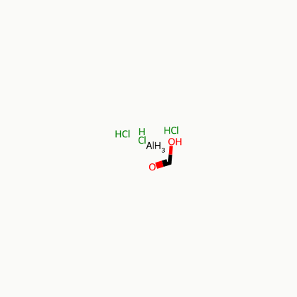 Cl.Cl.Cl.O=CO.[AlH3]